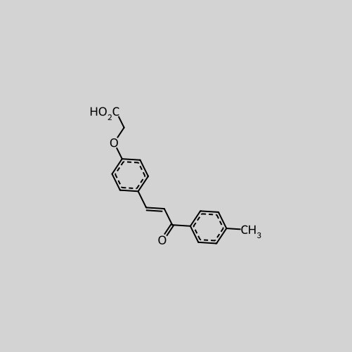 Cc1ccc(C(=O)/C=C/c2ccc(OCC(=O)O)cc2)cc1